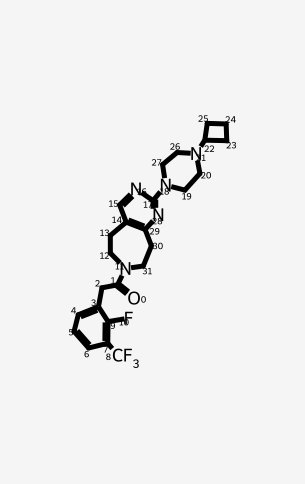 O=C(Cc1cccc(C(F)(F)F)c1F)N1CCc2cnc(N3CCN(C4CCC4)CC3)nc2CC1